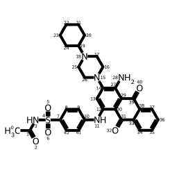 CC(=O)NS(=O)(=O)c1ccc(Nc2cc(N3CCN(C4CCCCC4)CC3)c(N)c3c2C(=O)c2ccccc2C3=O)cc1